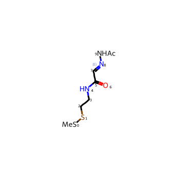 CSSCCNC(=O)/C=N/NC(C)=O